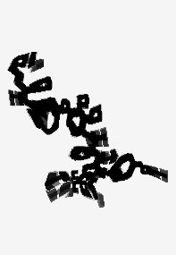 CCCCC(=O)Nc1cc(Oc2ccc(NC(=O)Nc3cc(C(C)(C)C)nn3-c3ccc(CO)cc3)c(Cl)c2Cl)ccn1